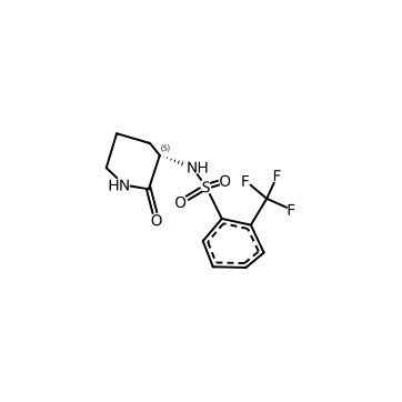 O=C1NCCC[C@@H]1NS(=O)(=O)c1ccccc1C(F)(F)F